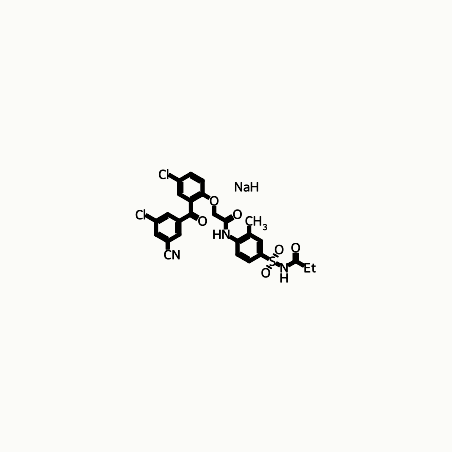 CCC(=O)NS(=O)(=O)c1ccc(NC(=O)COc2ccc(Cl)cc2C(=O)c2cc(Cl)cc(C#N)c2)c(C)c1.[NaH]